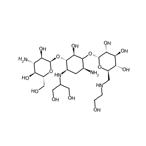 N[C@@H]1[C@@H](O)[C@@H](O[C@H]2[C@H](NC(CO)CO)C[C@H](N)C(O[C@H]3O[C@H](CNCCO)[C@@H](O)[C@H](O)[C@H]3O)[C@@H]2O)O[C@H](CO)[C@H]1O